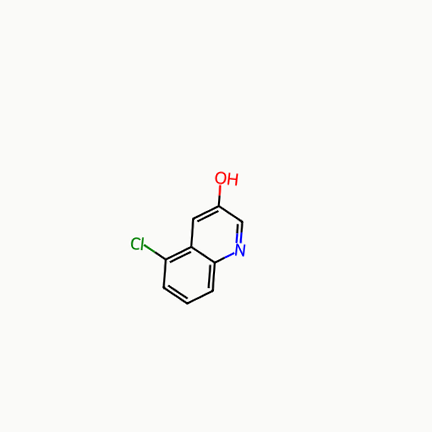 Oc1cnc2cccc(Cl)c2c1